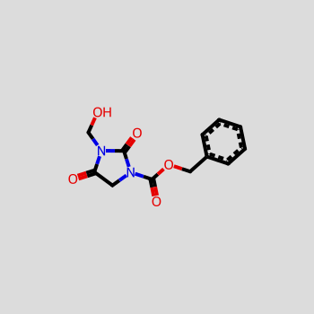 O=C1CN(C(=O)OCc2ccccc2)C(=O)N1CO